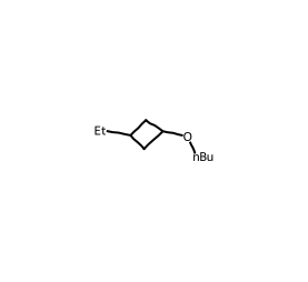 CCCCOC1CC(CC)C1